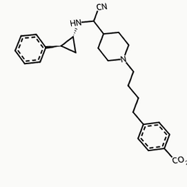 N#CC(N[C@@H]1C[C@H]1c1ccccc1)C1CCN(CCCCc2ccc(C(=O)O)cc2)CC1